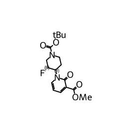 COC(=O)c1cccn([C@@H]2CCN(C(=O)OC(C)(C)C)C[C@H]2F)c1=O